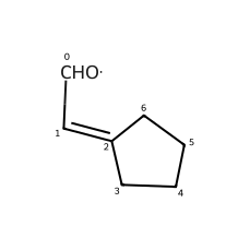 O=[C]C=C1CCCC1